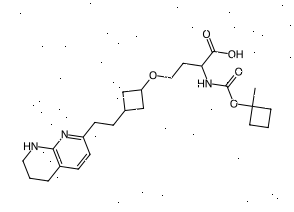 CC1(OC(=O)NC(CCOC2CC(CCc3ccc4c(n3)NCCC4)C2)C(=O)O)CCC1